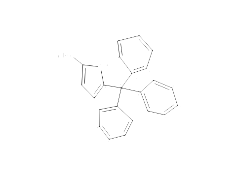 CCCCCCc1ccc(C(c2ccccc2)(c2ccccc2)c2ccccc2)s1